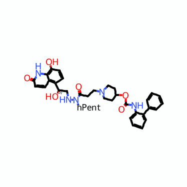 CCCCCN(NC[C@@H](O)c1ccc(O)c2[nH]c(=O)ccc12)C(=O)CCN1CCC(OC(=O)Nc2ccccc2-c2ccccc2)CC1